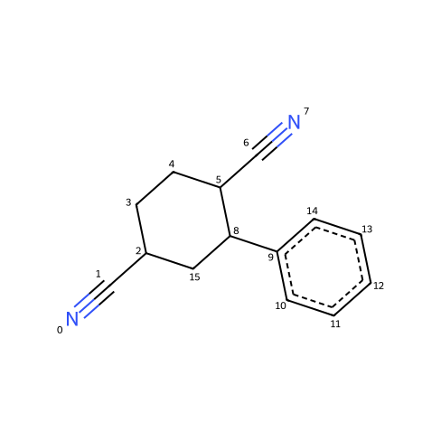 N#CC1CCC(C#N)C(c2ccccc2)C1